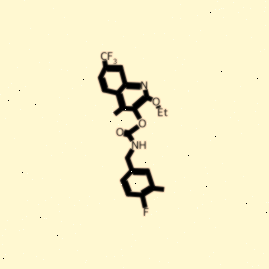 CCOc1nc2cc(C(F)(F)F)ccc2c(C)c1OC(=O)NCc1ccc(F)c(C)c1